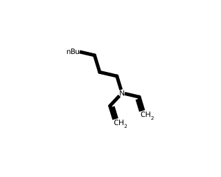 C=CN(C=C)CCCCCCC